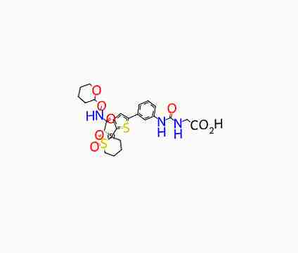 O=C(O)CNC(=O)Nc1cccc(-c2ccc([C@@]3(CC(=O)NOC4CCCCO4)CCCCS3(=O)=O)s2)c1